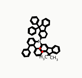 CC1(C)c2ccccc2-c2cc(N(C3=CC4=C(CC3)c3ccccc3C4(c3ccccc3)c3ccccc3)c3cccc(-c4ccccc4)c3-c3ccccc3)ccc21